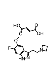 COc1cc2c(CCN3CCC3)n[nH]c2cc1F.O=C(O)/C=C/C(=O)O